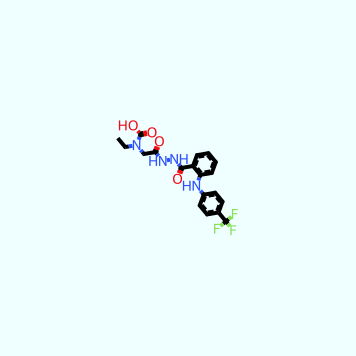 CCN(CC(=O)NNC(=O)c1ccccc1Nc1ccc(C(F)(F)F)cc1)C(=O)O